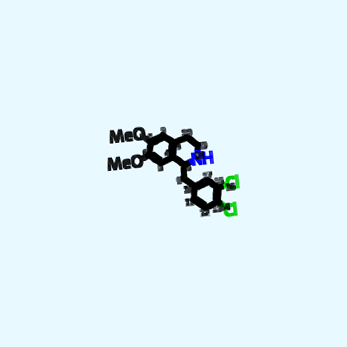 COc1cc2c(cc1OC)C(Cc1ccc(Cl)c(Cl)c1)NCC2